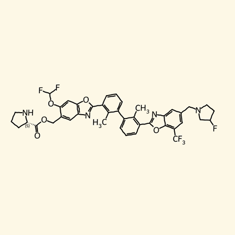 Cc1c(-c2nc3cc(COC(=O)[C@@H]4CCCN4)c(OC(F)F)cc3o2)cccc1-c1cccc(-c2nc3cc(CN4CCC(F)C4)cc(C(F)(F)F)c3o2)c1C